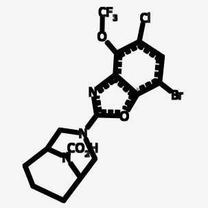 O=C(O)N1C2CCCC1CN(c1nc3c(OC(F)(F)F)c(Cl)cc(Br)c3o1)C2